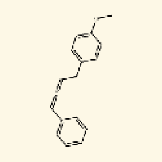 COc1ccc(CC=C=Cc2ccccc2)cc1